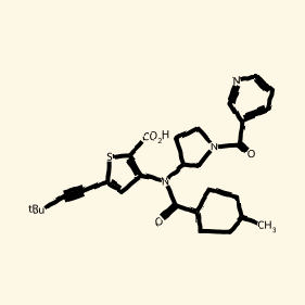 CC1CCC(C(=O)N(c2cc(C#CC(C)(C)C)sc2C(=O)O)C2CCN(C(=O)c3cccnc3)C2)CC1